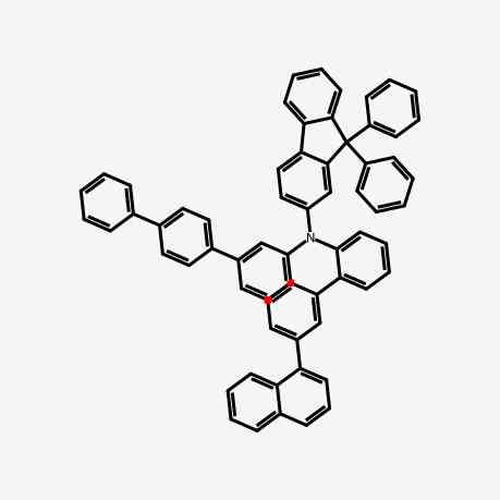 c1ccc(-c2ccc(-c3cccc(N(c4ccc5c(c4)C(c4ccccc4)(c4ccccc4)c4ccccc4-5)c4ccccc4-c4cccc(-c5cccc6ccccc56)c4)c3)cc2)cc1